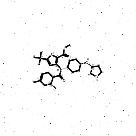 COC(=O)c1sc(C(C)(C)C)cc1N(C(=O)C1CC=C(C)C[C@@H]1C)[C@H]1CC[C@H](O[C@H]2CCOC2)CC1